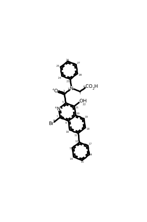 O=C(O)CN(C(=O)c1nc(Br)c2cc(-c3ccccc3)ccc2c1O)c1ccccc1